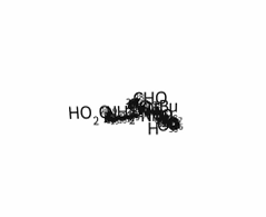 CN(CC(NC(=O)N[C@@H](CCCCCCCC1C[C@]1(N)C(=O)O)C(=O)N1CCCC1C=O)C(C)(C)C)S(=O)(=O)c1ccccc1